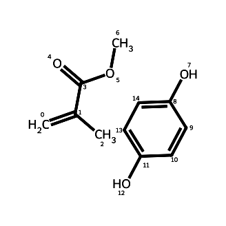 C=C(C)C(=O)OC.Oc1ccc(O)cc1